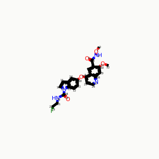 CONC(=O)c1cc2c(Oc3ccc4c(ccn4C(=O)NCCF)c3)ccnc2cc1OC